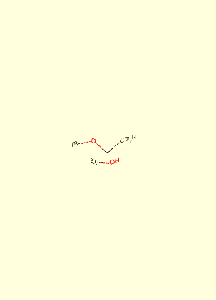 CC(C)OCC(=O)O.CCO